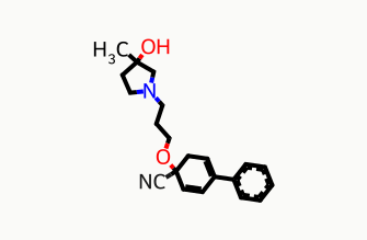 CC1(O)CCN(CCCOC2(C#N)C=CC(c3ccccc3)=CC2)C1